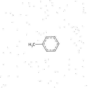 Cc1[c][c]ccc1